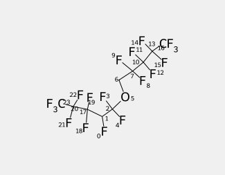 FC(C(F)(F)OCC(F)(F)C(F)(F)C(F)(F)C(F)(F)F)C(F)(F)C(F)(F)C(F)(F)F